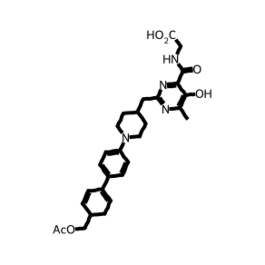 CC(=O)OCC1C=CC(c2ccc(N3CCC(Cc4nc(C)c(O)c(C(=O)NCC(=O)O)n4)CC3)cc2)=CC1